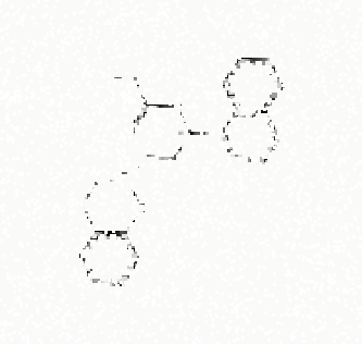 NC(=O)O[C@H](CC[C@H]1CCc2ccccc2O1)c1cccc2ccccc12